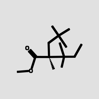 CCC(C)(C)[C@](C)(CC(C)(C)C)C(=O)OC